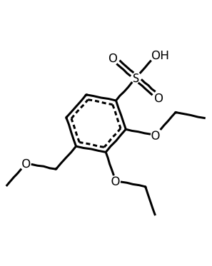 CCOc1c(COC)ccc(S(=O)(=O)O)c1OCC